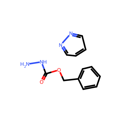 NNC(=O)OCc1ccccc1.c1ccnnc1